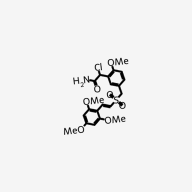 COc1cc(OC)c(C=CS(=O)(=O)Cc2ccc(OC)c(C(Cl)C(N)=O)c2)c(OC)c1